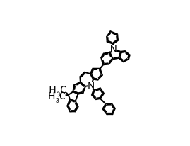 CC1(C)c2ccccc2-c2cc3c(cc21)C=Cc1cc(-c2ccc4c(c2)c2ccccc2n4-c2ccccc2)ccc1N3c1ccc(-c2ccccc2)cc1